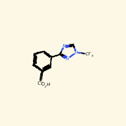 O=C(O)c1cccc(-c2ncn(C(F)(F)F)n2)c1